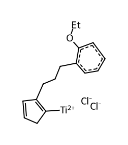 CCOc1ccccc1CCCC1=[C]([Ti+2])CC=C1.[Cl-].[Cl-]